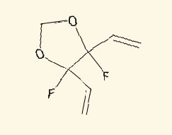 C=CC1(F)OCOC1(F)C=C